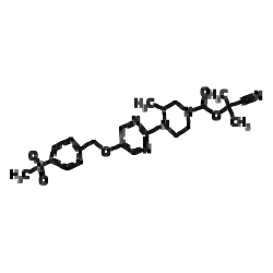 CC1CN(C(=O)OC(C)(C)C#N)CCN1c1ncc(OCc2ccc(S(C)(=O)=O)cc2)cn1